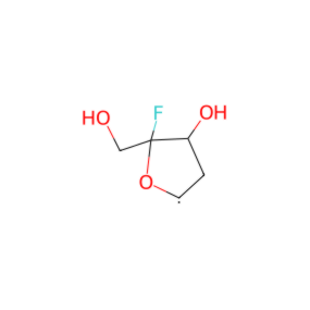 OCC1(F)O[CH]CC1O